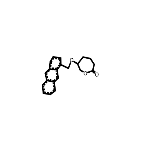 O=C1CCCC(OCc2cccc3cc4ccccc4cc23)CO1